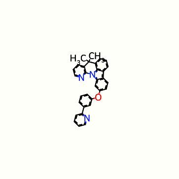 CC1(C)c2cccnc2-n2c3cc(Oc4cccc(-c5ccccn5)c4)ccc3c3cccc1c32